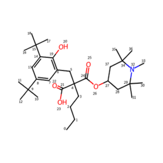 CCCCC(Cc1cc(C(C)(C)C)cc(C(C)(C)C)c1O)(C(=O)O)C(=O)OC1CC(C)(C)N(C)C(C)(C)C1